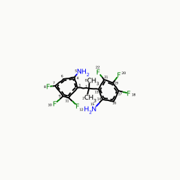 CC(C)(c1c(N)cc(F)c(F)c1F)c1c(N)cc(F)c(F)c1F